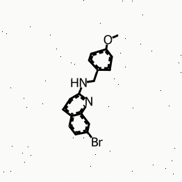 COc1ccc(CNc2ccc3ccc(Br)cc3n2)cc1